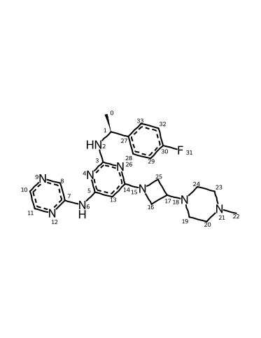 C[C@H](Nc1nc(Nc2cnccn2)cc(N2CC(N3CCN(C)CC3)C2)n1)c1ccc(F)cc1